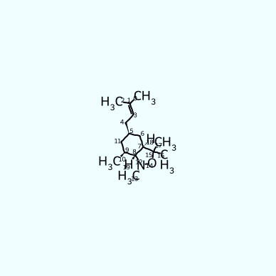 CC(C)=CC[C@H]1C[C@@H]2[C@@H]([C@@H](C)C1)N(C)OC2(C)C